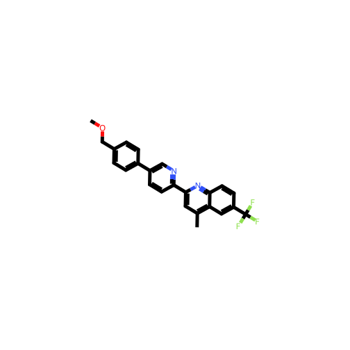 COCc1ccc(-c2ccc(-c3cc(C)c4cc(C(F)(F)F)ccc4n3)nc2)cc1